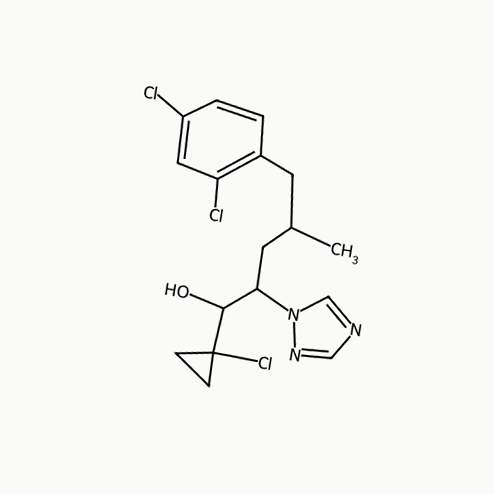 CC(Cc1ccc(Cl)cc1Cl)CC(C(O)C1(Cl)CC1)n1cncn1